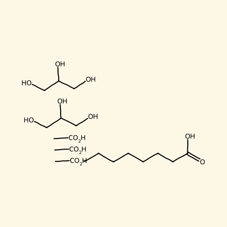 CC(=O)O.CC(=O)O.CC(=O)O.CCCCCCCC(=O)O.OCC(O)CO.OCC(O)CO